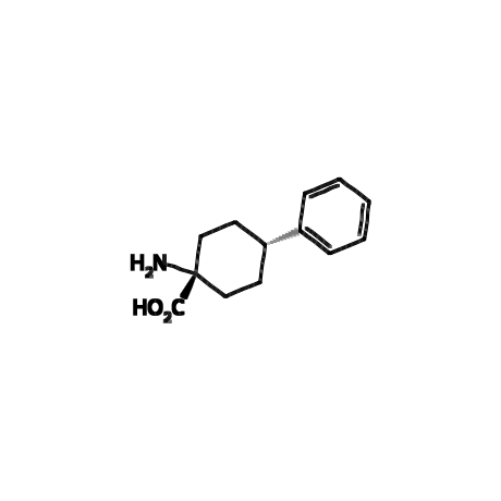 N[C@]1(C(=O)O)CC[C@H](c2ccccc2)CC1